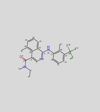 CCN(C)C(=O)c1cnc(Nc2cccc(C(F)(F)F)c2C)c2cccc(C)c12